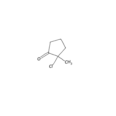 CC1(Cl)CCCC1=O